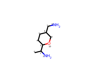 CC(N)C1CCC(CN)CO1